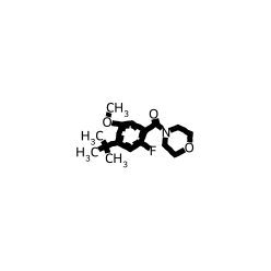 COc1cc(C(=O)N2CCOCC2)c(F)cc1C(C)(C)C